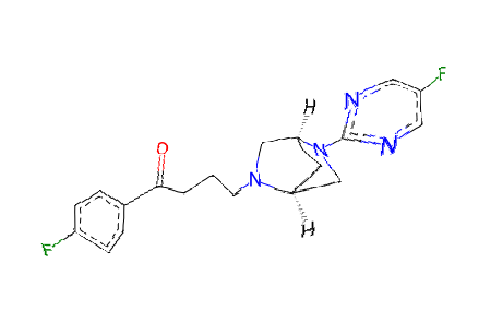 O=C(CCCN1C[C@@H]2C[C@H]1CN2c1ncc(F)cn1)c1ccc(F)cc1